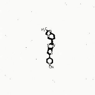 Cc1cn2cc(-c3nc4sc(C5CCB(C#N)CC5)cc4s3)ccc2n1